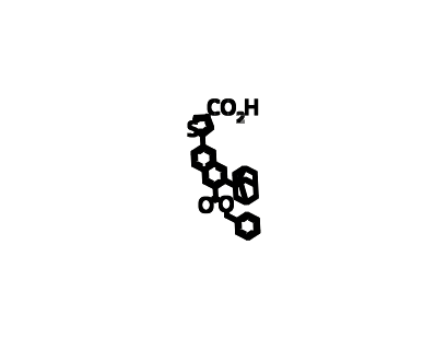 O=C(O)c1csc(-c2ccc3cc(C(=O)OCc4ccccc4)c(C45CC6CC(CC(C6)C4)C5)cc3c2)c1